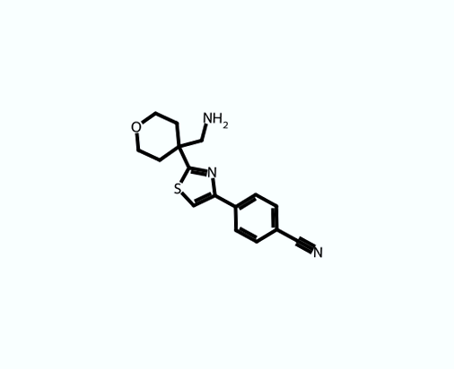 N#Cc1ccc(-c2csc(C3(CN)CCOCC3)n2)cc1